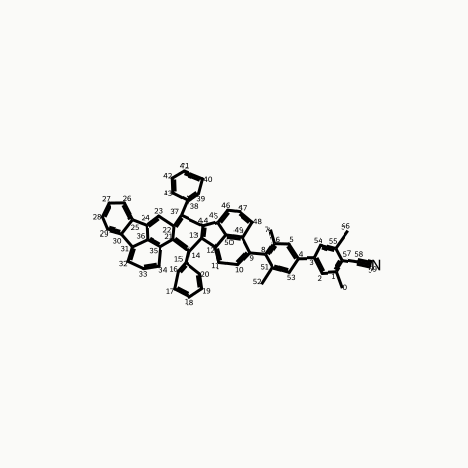 Cc1cc(-c2cc(C)c(-c3ccc4c5c(-c6ccccc6)c6c(cc7c8ccccc8c8cccc6c87)c(-c6ccccc6)c5c5cccc3c54)c(C)c2)cc(C)c1C#N